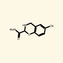 CNC(=O)C1NCc2cc(C#N)ccc2O1